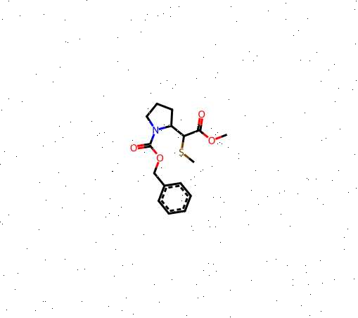 COC(=O)C(SC)C1CCCN1C(=O)OCc1ccccc1